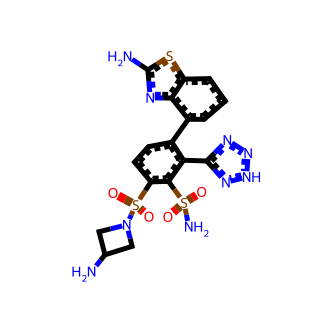 Nc1nc2c(-c3ccc(S(=O)(=O)N4CC(N)C4)c(S(N)(=O)=O)c3-c3nn[nH]n3)cccc2s1